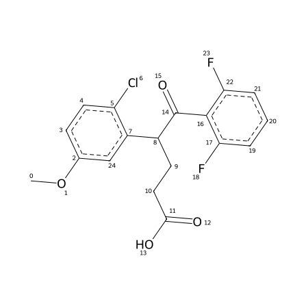 COc1ccc(Cl)c(C(CCC(=O)O)C(=O)c2c(F)cccc2F)c1